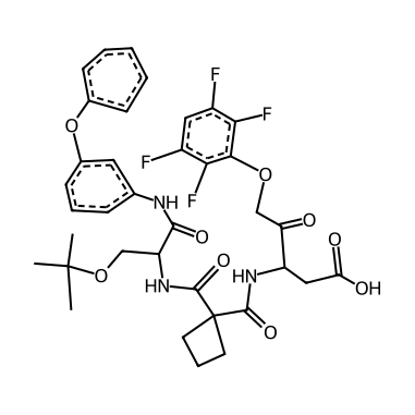 CC(C)(C)OCC(NC(=O)C1(C(=O)NC(CC(=O)O)C(=O)COc2c(F)c(F)cc(F)c2F)CCC1)C(=O)Nc1cccc(Oc2ccccc2)c1